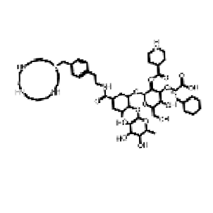 CC1CC(C(=O)NCCc2ccc(CN3CCCNCCNCCCNCC3)cc2)CC(OC2OC(CO)C(O)C(O[C@@H](CC3CCCCC3)C(=O)O)C2OC(=O)C2CCNCC2)C1OC1OC(C)C(O)C(O)C1O